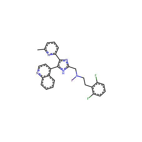 Cc1cccc(-c2nc(CN(I)CCc3c(F)cccc3F)[nH]c2-c2ccnc3ccccc23)n1